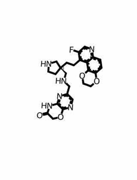 O=C1COc2ncc(CNC[C@@]3(CCc4c(F)cnc5ccc6c(c45)OCCO6)CCNC3)nc2N1